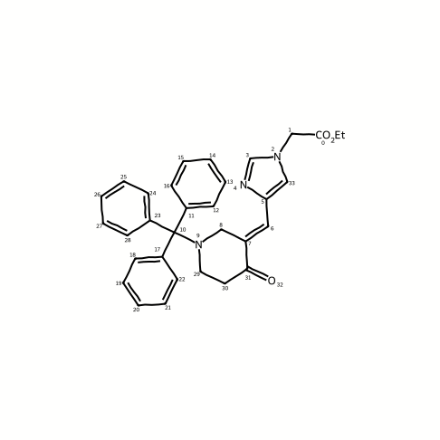 CCOC(=O)Cn1cnc(/C=C2\CN(C(c3ccccc3)(c3ccccc3)c3ccccc3)CCC2=O)c1